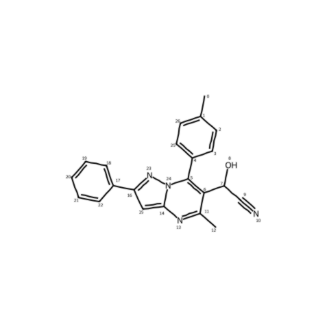 Cc1ccc(-c2c(C(O)C#N)c(C)nc3cc(-c4ccccc4)nn23)cc1